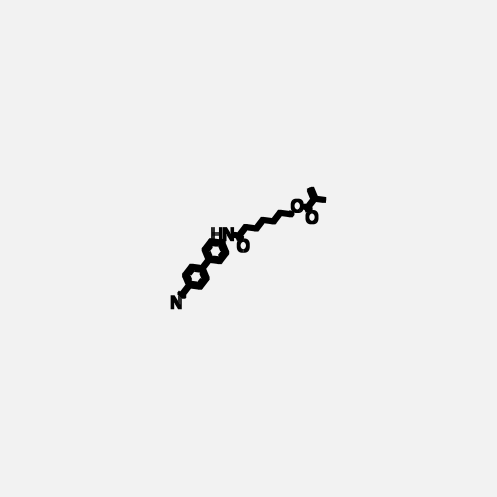 C=C(C)C(=O)OCCCCCCC(=O)Nc1ccc(-c2ccc(C#N)cc2)cc1